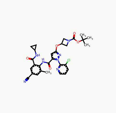 Cc1cc(C#N)cc(C(=O)NC2CC2)c1NC(=O)c1cc(OC2CN(C(=O)OC(C)(C)C)C2)nn1-c1ncccc1Cl